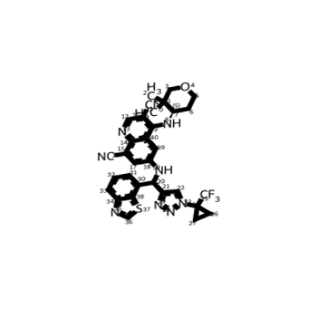 CC1(C)COCC[C@@H]1Nc1c(C#N)cnc2c(C#N)cc(NC(c3cn(C4(C(F)(F)F)CC4)nn3)c3cccc4ncsc34)cc12